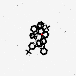 CC(C)(C)c1cc[n+]2c(c1)-n1c3ccccc3c3ccc4c(c31)[N+]21c2c(cccc2[N+]2(C)c3ccccc3N(c3c(-c5ccccc5)cccc3-c3ccccc3)C21)-c1cc(C(C)(C)C)c(C(C)(C)C)cc1-4